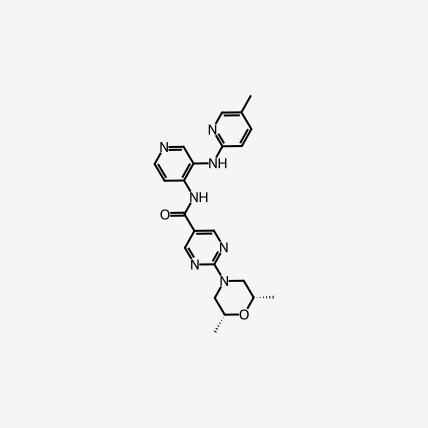 Cc1ccc(Nc2cnccc2NC(=O)c2cnc(N3C[C@@H](C)O[C@@H](C)C3)nc2)nc1